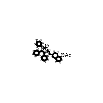 CC(=O)Oc1cccc2c1CCC(CCn1c(-c3ccccc3)c(-c3ccccc3)n(-c3ccccc3)c1=O)C2